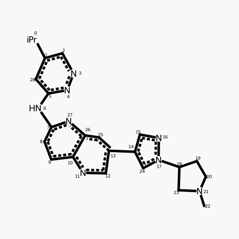 CC(C)c1cnnc(Nc2ccc3ncc(-c4cnn(C5CCN(C)C5)c4)cc3n2)c1